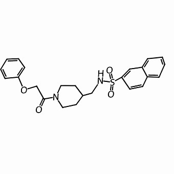 O=C(COc1ccccc1)N1CCC(CNS(=O)(=O)c2ccc3ccccc3c2)CC1